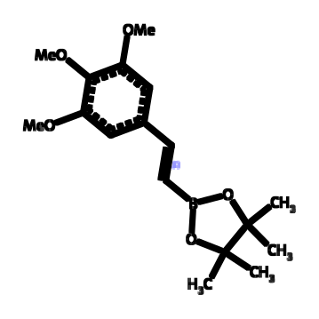 COc1cc(/C=C/B2OC(C)(C)C(C)(C)O2)cc(OC)c1OC